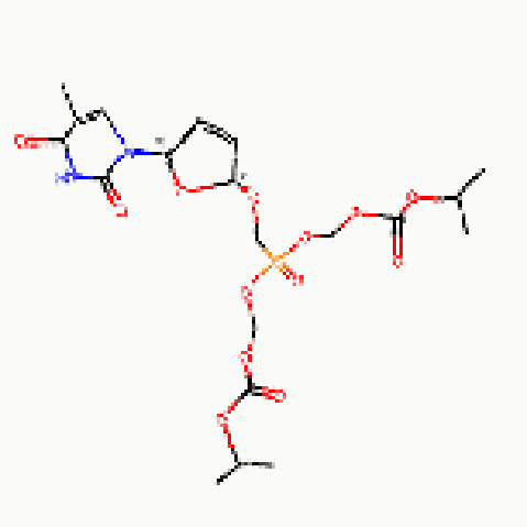 Cc1cn([C@H]2C=C[C@@H](OCP(=O)(OCOC(=O)OC(C)C)OCOC(=O)OC(C)C)O2)c(=O)[nH]c1=O